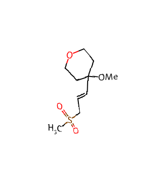 COC1(C=CCS(C)(=O)=O)CCOCC1